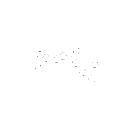 c1ccc(-n2c3ccccc3c3ccc(-c4ccc5c(c4)c4ccccc4n5-c4ccc5cc(-c6cc7c8c(cccc8n6)-c6ccccc6-7)ccc5c4)cc32)cc1